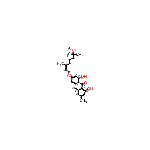 COC(C)(C)CCCC(C)=CCOc1cc(O)c2c(c1)Cc1cc(C)cc(O)c1C2=O